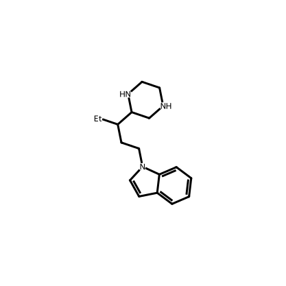 CCC(CCn1ccc2ccccc21)C1CNCCN1